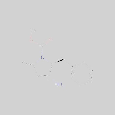 CC1C[C@@H](N)[C@H](Cc2ccccc2)N1C(=O)OC(C)(C)C